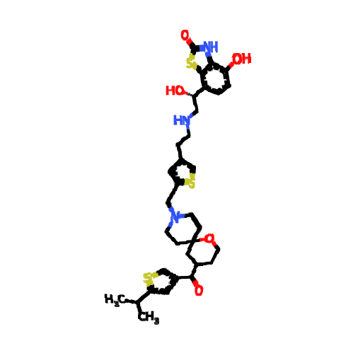 CC(C)c1cc(C(=O)C2CCOC3(CCN(Cc4cc(CCNC[C@H](O)c5ccc(O)c6[nH]c(=O)sc56)cs4)CC3)C2)cs1